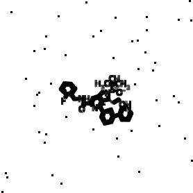 CC(C)(C)[S@@+]([O-])N1Cc2cc(C(=O)NCc3ccccc3F)nc(-c3cccc(-c4cccnc4)c3)c2[C@H]1CCO